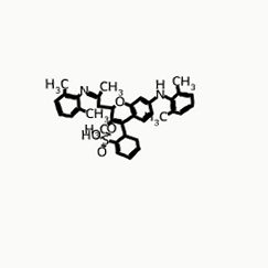 CC1=C(C2CC=CC=C2S(=O)(=O)O)c2ccc(Nc3c(C)cccc3C)cc2OC1C/C(C)=N\c1c(C)cccc1C